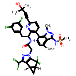 COc1ccc(-c2ccc(C#CC(C)(C)O)nc2[C@H](Cc2cc(F)cc(F)c2)NC(=O)Cn2nc(C(F)F)c3c2C(F)(F)[C@@H]2C[C@H]32)c2c1c(NS(C)(=O)=O)nn2C